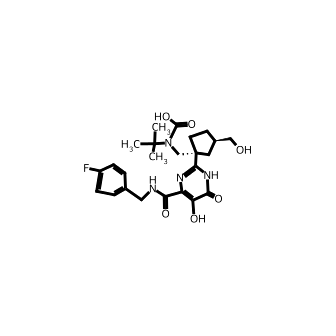 CC(C)(C)N(C[C@]1(c2nc(C(=O)NCc3ccc(F)cc3)c(O)c(=O)[nH]2)CC[C@@H](CO)C1)C(=O)O